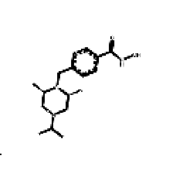 CC(C)N1C[C@@H](C)N(Cc2ccc(C(=O)NO)cc2)[C@@H](C)C1